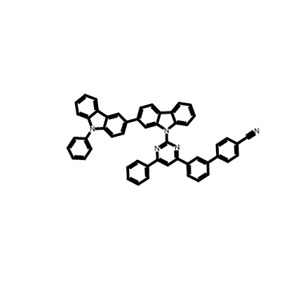 N#Cc1ccc(-c2cccc(-c3cc(-c4ccccc4)nc(-n4c5ccccc5c5ccc(-c6ccc7c(c6)c6ccccc6n7-c6ccccc6)cc54)n3)c2)cc1